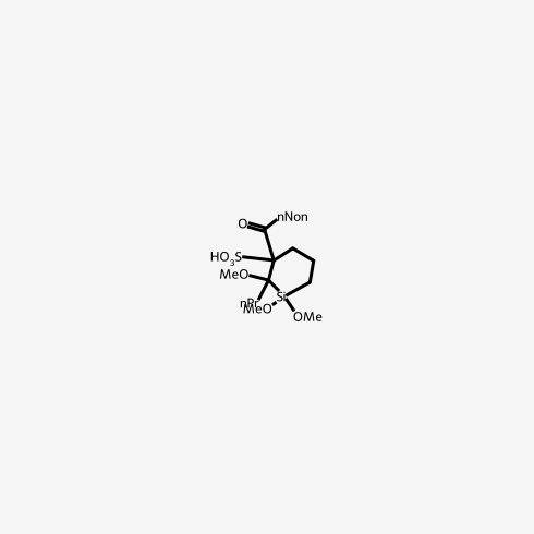 CCCCCCCCCC(=O)C1(S(=O)(=O)O)CCC[Si](OC)(OC)C1(CCC)OC